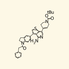 CC(C)(C)OC(=O)N1CC=C(c2cnc(N)c3c(-c4ccc5c(c4)CCN5C(=O)Cc4ccccc4)csc23)CC1